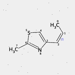 C/C=C\c1csc(C)n1